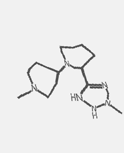 CN1CCC(N2CCCC2C2=NN(C)NN2)CC1